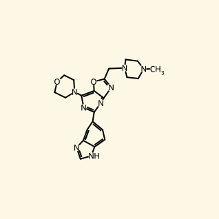 CN1CCN(Cc2nc3nc(-c4ccc5[nH]cnc5c4)nc(N4CCOCC4)c3o2)CC1